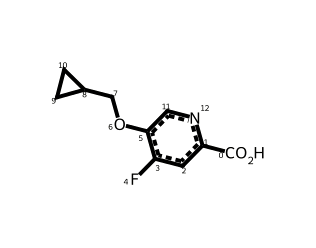 O=C(O)c1cc(F)c(OCC2CC2)cn1